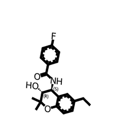 CCc1ccc2c(c1)[C@H](NC(=O)c1ccc(F)cc1)[C@@H](O)C(C)(C)O2